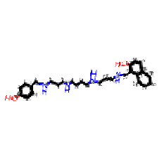 Oc1ccc(CNCCCNCCCCNCCCNCc2c(O)ccc3c2C=CCC3)cc1